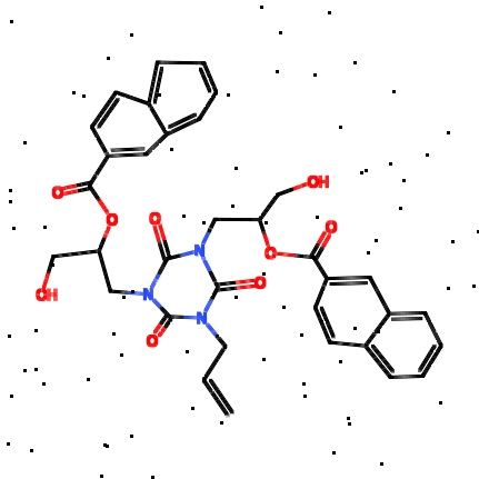 C=CCn1c(=O)n(CC(CO)OC(=O)c2ccc3ccccc3c2)c(=O)n(CC(CO)OC(=O)c2ccc3ccccc3c2)c1=O